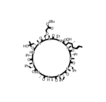 C/C=C/C[C@@H](C)[C@@H](O)[C@H]1C(=O)N[C@@H](CC)C(=O)N(C)[C@H](COCC(=O)OC(C)(C)C)C(=O)N(C)[C@@H](CC(C)(C)O)C(=O)N[C@@H](C(C)C)C(=O)N(C)[C@@H](CC(C)C)C(=O)N[C@@H](C)C(=O)N[C@H](C)C(=O)N(C)[C@@H](CC(C)C)C(=O)N(C)[C@@H](CC(C)C)C(=O)N(C)[C@@H](C(C)C)C(=O)N1C